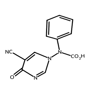 N#Cc1cn(N(C(=O)O)c2ccccc2)cnc1=O